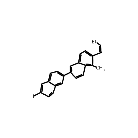 CC/C=C\c1ccc2cc(-c3ccc4cc(I)ccc4c3)ccc2c1C